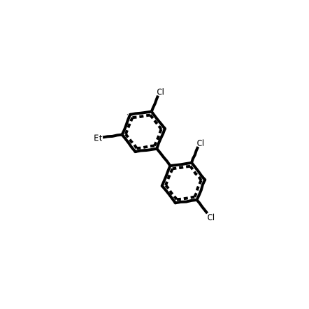 CCc1[c]c(Cl)cc(-c2ccc(Cl)cc2Cl)c1